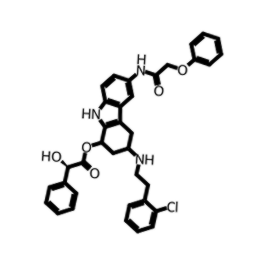 O=C(COc1ccccc1)Nc1ccc2[nH]c3c(c2c1)CC(NCCc1ccccc1Cl)CC3OC(=O)[C@H](O)c1ccccc1